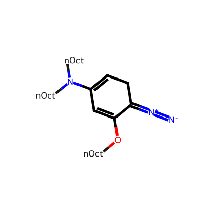 CCCCCCCCOC1=CC(N(CCCCCCCC)CCCCCCCC)=CCC1=[N+]=[N-]